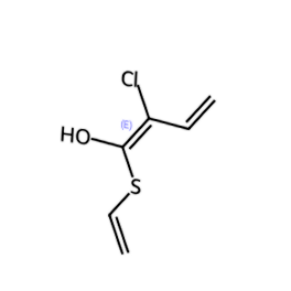 C=CS/C(O)=C(/Cl)C=C